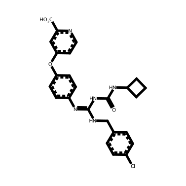 O=C(N/C(=N\c1ccc(Oc2ccnc(C(=O)O)c2)cc1)NCc1ccc(Cl)cc1)NC1CCC1